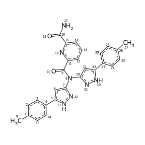 Cc1ccc(-c2cc(N(C(=O)c3cccc(C(N)=O)n3)c3cc(-c4ccc(C)cc4)[nH]n3)n[nH]2)cc1